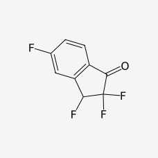 O=C1c2ccc(F)cc2C(F)C1(F)F